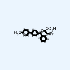 Cc1ccc(-c2ccc(C(O[C@@H](CC(C)C)C(=O)O)c3ccccc3)cc2)cn1